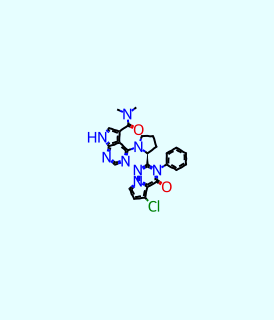 CN(C)C(=O)c1c[nH]c2ncnc(N3CCC[C@H]3c3nn4ccc(Cl)c4c(=O)n3-c3ccccc3)c12